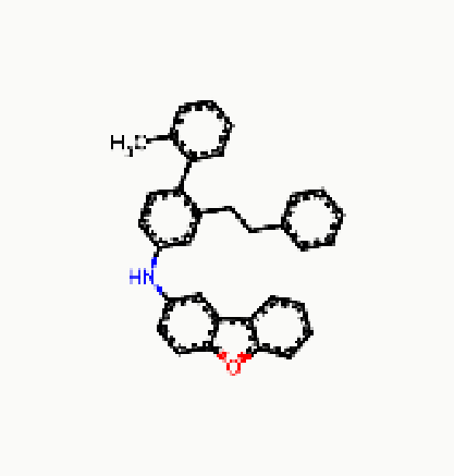 Cc1ccccc1-c1ccc(Nc2ccc3oc4ccccc4c3c2)cc1CCc1ccccc1